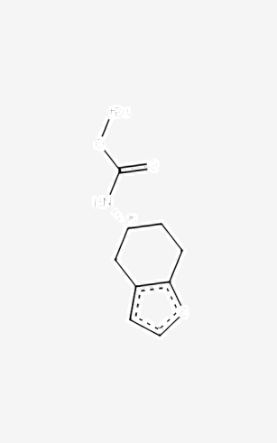 CC(C)(C)OC(=O)N[C@@H]1CCc2sccc2C1